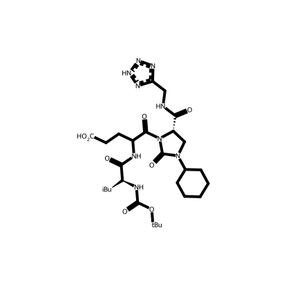 CC[C@H](C)[C@H](NC(=O)OC(C)(C)C)C(=O)NC(CCC(=O)O)C(=O)N1C(=O)N(C2CCCCC2)C[C@H]1C(=O)NCc1nn[nH]n1